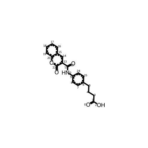 O=C(O)CCCc1ccc(NC(=O)c2cc3ccccc3oc2=O)cc1